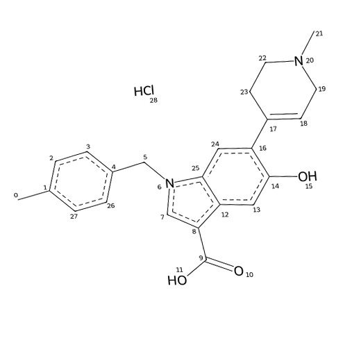 Cc1ccc(Cn2cc(C(=O)O)c3cc(O)c(C4=CCN(C)CC4)cc32)cc1.Cl